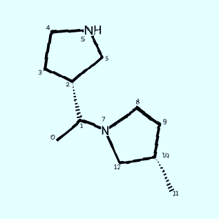 CC([C@@H]1CCNC1)N1CC[C@H](C)C1